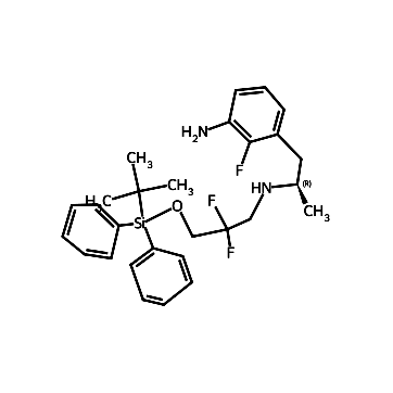 C[C@H](Cc1cccc(N)c1F)NCC(F)(F)CO[Si](c1ccccc1)(c1ccccc1)C(C)(C)C